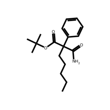 CCCCCC(C(N)=O)(C(=O)OC(C)(C)C)c1ccccc1